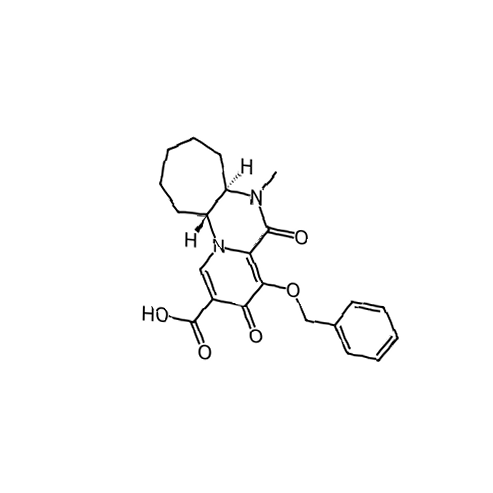 CN1C(=O)c2c(OCc3ccccc3)c(=O)c(C(=O)O)cn2[C@@H]2CCCCC[C@H]21